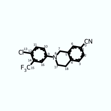 N#Cc1ccc2c(c1)CN(c1ccc(Cl)c(C(F)(F)F)c1)CC2